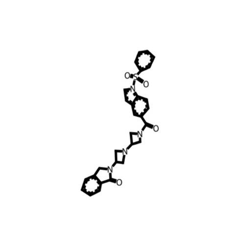 O=C(c1ccc2c(ccn2S(=O)(=O)c2ccccc2)c1)N1CC(N2CC(N3Cc4ccccc4C3=O)C2)C1